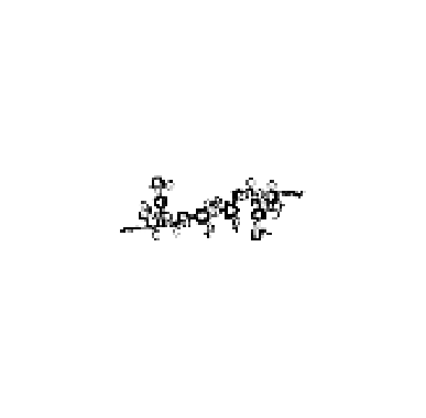 CCCCC[C@@H](C(=O)NCNC(=O)c1ccc(-c2cc(OCC)cc(O[PH](=O)Oc3cc(OCC)cc(-c4ccc(C(=O)NCNC(=O)[C@H](CCCCC)[C@@H](CC)N(C=O)OC(=O)c5ccc(N6CCCC6=O)cc5)o4)c3)c2)o1)[C@@H](CC)N(C=O)OC(=O)c1ccc(N2CCCC2=O)cc1